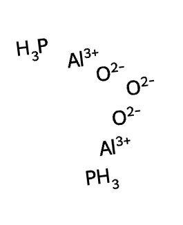 P.P.[Al+3].[Al+3].[O-2].[O-2].[O-2]